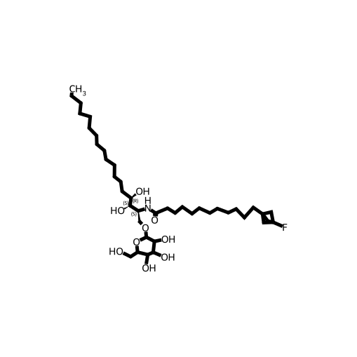 CCCCCCCCCCCCCC[C@@H](O)[C@@H](O)[C@H](COC1OC(CO)C(O)C(O)C1O)NC(=O)CCCCCCCCCCCC12CC(F)(C1)C2